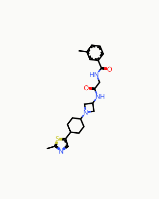 Cc1cccc(C(=O)NCC(=O)NC2CN(C3CCC(c4cnc(C)s4)CC3)C2)c1